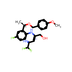 COc1ccc(CO[C@H](C)c2cc(F)ccc2N/C(=C\C(=N)C(F)F)CO)cc1